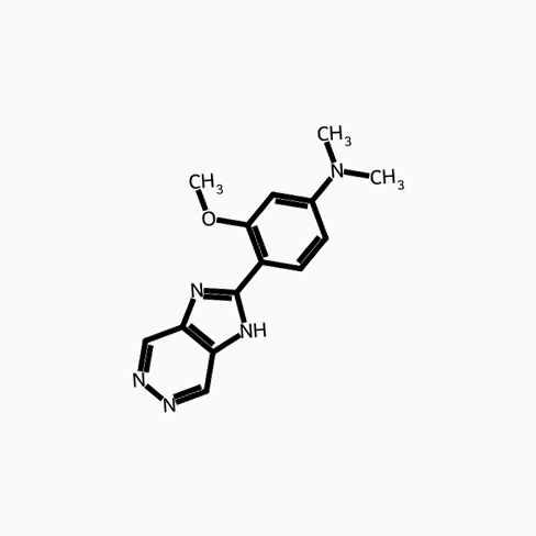 COc1cc(N(C)C)ccc1-c1nc2cnncc2[nH]1